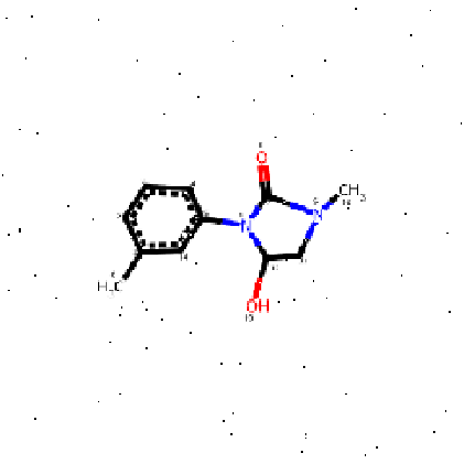 Cc1cccc(N2C(=O)N(C)CC2O)c1